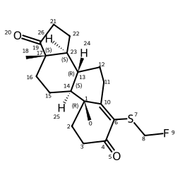 C[C@]12CCC(=O)C(SCF)=C1CC[C@@H]1[C@@H]2CC[C@]2(C)C(=O)CC[C@@H]12